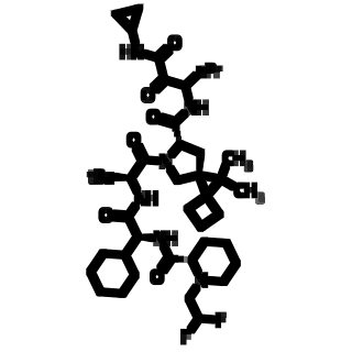 CCCC(NC(=O)[C@@H]1C[C@@]2(CN1C(=O)[C@@H](NC(=O)[C@@H](NC(=O)[C@@H]1CCCCN1CC(F)F)C1CCCCC1)C(C)(C)C)C(C)(C)C21CCC1)C(=O)C(=O)NC1CC1